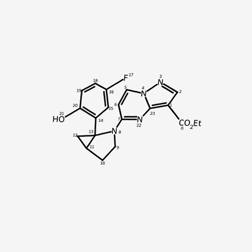 CCOC(=O)c1cnn2ccc(N3CCC4CC43c3cc(F)ccc3O)nc12